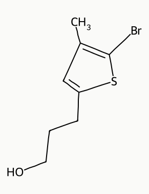 Cc1cc(CCCO)sc1Br